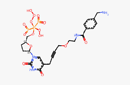 NCc1ccc(C(=O)NCCOCC#CCc2cn([C@H]3CC[C@@H](COP(OO)(OOO)(P(=O)=O)P(=O)=O)O3)c(=O)[nH]c2=O)cc1